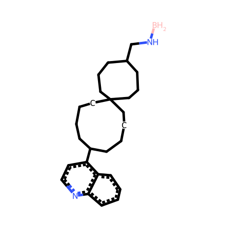 BNCC1CCCC2(CCCCC(c3ccnc4ccccc34)CCCC2)CCC1